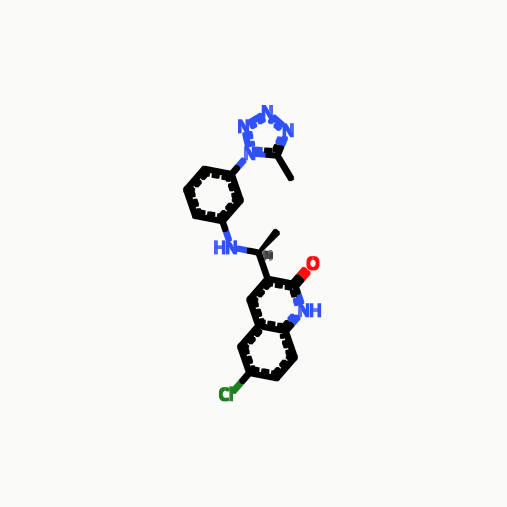 Cc1nnnn1-c1cccc(N[C@@H](C)c2cc3cc(Cl)ccc3[nH]c2=O)c1